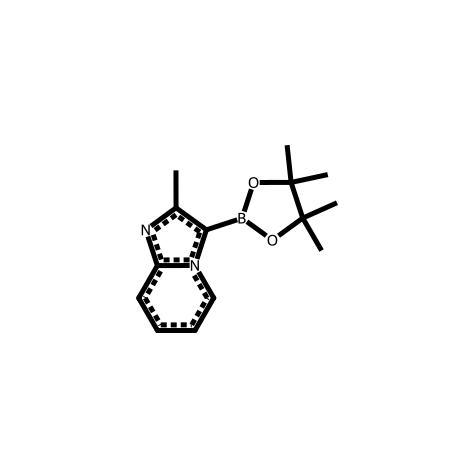 Cc1nc2ccccn2c1B1OC(C)(C)C(C)(C)O1